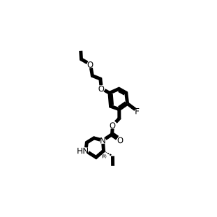 CCOCCOc1ccc(F)c(COC(=O)N2CCNC[C@H]2CC)c1